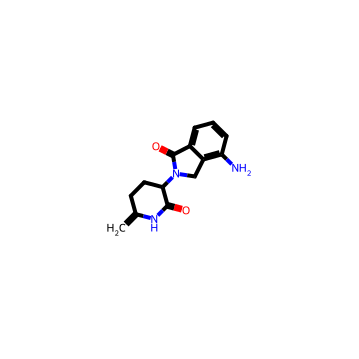 C=C1CCC(N2Cc3c(N)cccc3C2=O)C(=O)N1